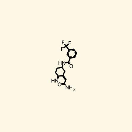 N=C1CCC(NC(=O)c2cccc(C(F)(F)F)c2)C/C1=C/C(N)=O